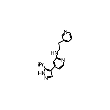 CC(C)c1[nH]ncc1-c1ccnc(NCCc2cccnc2)c1